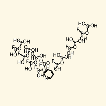 OB(O)OB(O)F.OB(O)OB(O)F.OB(O)OB(O)F.OB(O)OB(O)F.OB(O)OB(O)F.OB(O)OB(O)F.OB(O)OB(O)F.c1ccncc1